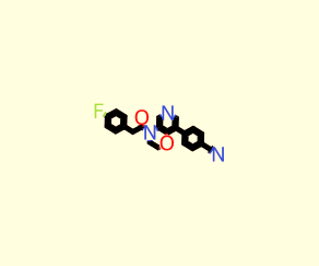 N#Cc1ccc(-c2cncc3c2OCCN3C(=O)Cc2ccc(F)cc2)cc1